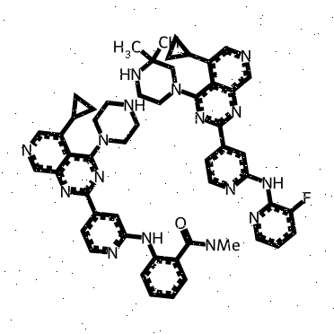 CC1(C)CN(c2nc(-c3ccnc(Nc4ncccc4F)c3)nc3cncc(C4CC4)c23)CCN1.CNC(=O)c1ccccc1Nc1cc(-c2nc(N3CCNCC3)c3c(C4CC4)cncc3n2)ccn1